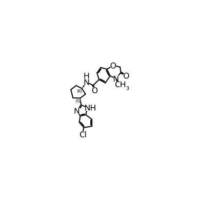 CN1C(=O)COc2ccc(C(=O)N[C@@H]3CCC[C@H](c4nc5cc(Cl)ccc5[nH]4)C3)cc21